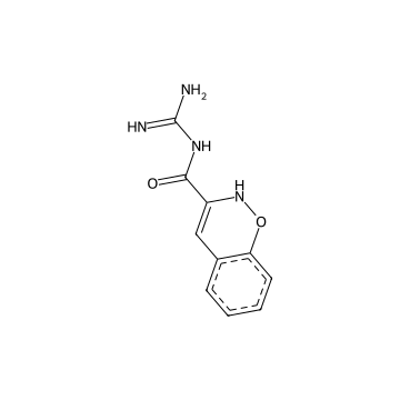 N=C(N)NC(=O)C1=Cc2ccccc2ON1